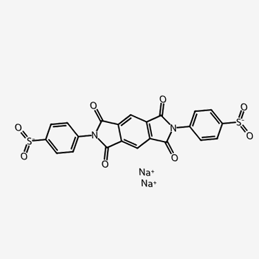 O=c1c2cc3c(=O)n(-c4ccc([S-](=O)=O)cc4)c(=O)c3cc2c(=O)n1-c1ccc([S-](=O)=O)cc1.[Na+].[Na+]